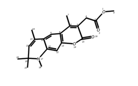 COC(=O)Cc1c(C)c2cc3c(cc2oc1=O)N(C)C(C)(C)C=C3C